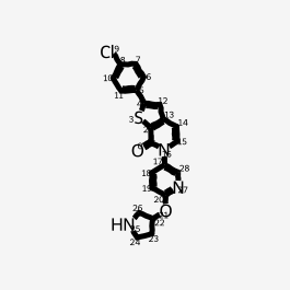 O=c1c2sc(-c3ccc(Cl)cc3)cc2ccn1-c1ccc(OC2CCNC2)nc1